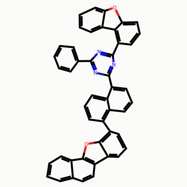 c1ccc(-c2nc(-c3cccc4c(-c5cccc6c5oc5c7ccccc7ccc65)cccc34)nc(-c3cccc4oc5ccccc5c34)n2)cc1